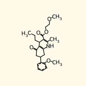 CCCC1C(C(=O)OCCOC)=C(C)NC2=C1C(=O)CC(c1ccccc1OC)C2